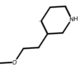 COCCC1[CH]CCNC1